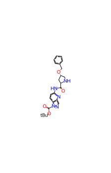 CC(C)(C)OC(=O)n1ncc2nc(NC(=O)C3C[C@H](OCc4ccccc4)CN3)ccc21